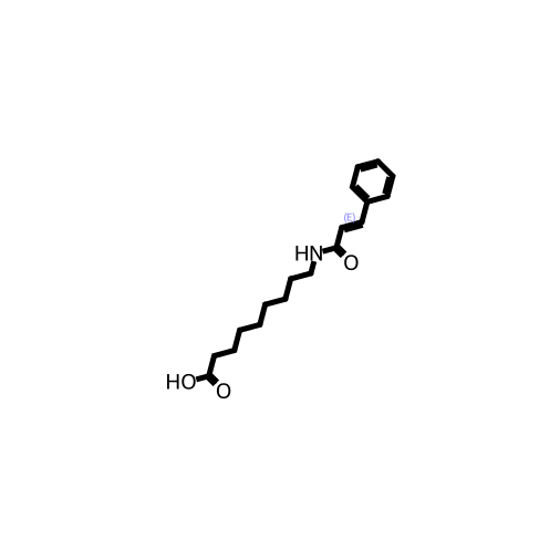 O=C(O)CCCCCCCCNC(=O)/C=C/c1ccccc1